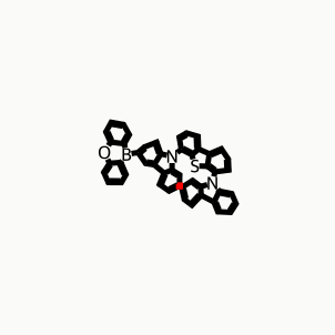 c1ccc2c(c1)Oc1ccccc1B2c1ccc2c(c1)c1ccccc1n2-c1cccc2c1sc1c(-n3c4ccccc4c4ccccc43)cccc12